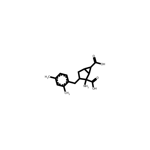 Cc1ccc(CC2CC3C(C(=O)O)C3C2(N)C(=O)O)c(C)c1